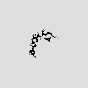 CN(/C=C\C=C(/C=O)NC(=O)c1cn2cc(C34COC(C)(C3)C4)nc2nc1O)C1CC1F